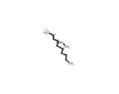 CCCCCCC.CCCCCCCCCC